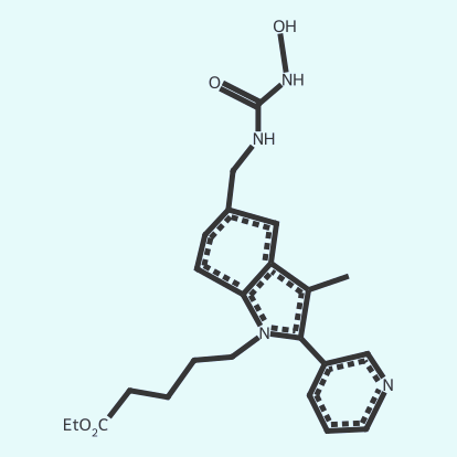 CCOC(=O)CCCCn1c(-c2cccnc2)c(C)c2cc(CNC(=O)NO)ccc21